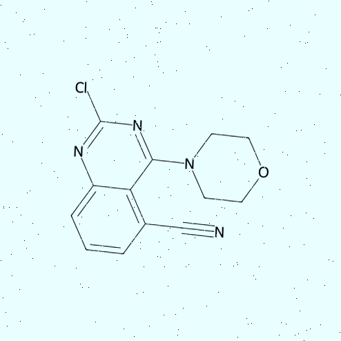 N#Cc1cccc2nc(Cl)nc(N3CCOCC3)c12